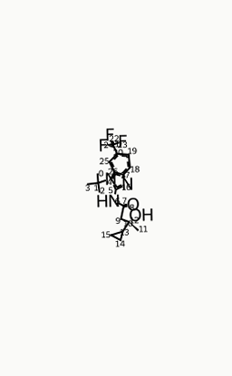 CC(C)(C)n1c(NC(=O)C[C@](C)(O)C2CC2)nc2ccc(C(F)(F)F)cc21